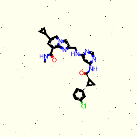 CNC(=O)c1cc(C2CC2)cn2cc(CNc3cc(NC(=O)[C@H]4C[C@@H]4c4cccc(Cl)c4)ncn3)nc12